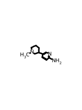 CN1CCCC(c2ccc(N)nc2)C1